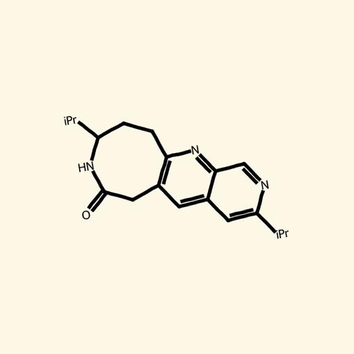 CC(C)c1cc2cc3c(nc2cn1)CCC(C(C)C)NC(=O)C3